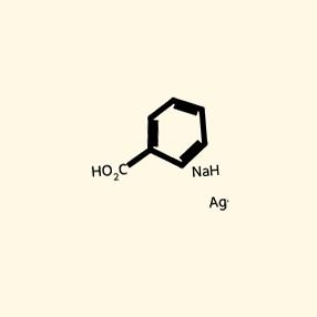 O=C(O)c1ccccc1.[Ag].[NaH]